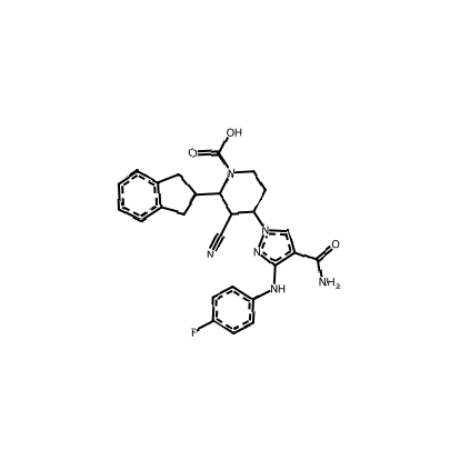 N#CC1C(C2Cc3ccccc3C2)N(C(=O)O)CCC1n1cc(C(N)=O)c(Nc2ccc(F)cc2)n1